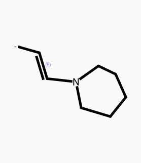 [CH2]/C=C/N1CCCCC1